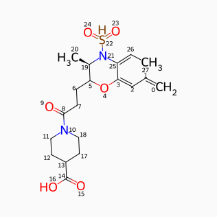 C=C/C=C1/OC(CCC(=O)N2CCC(C(=O)O)CC2)[C@@H](C)N([SH](=O)=O)/C1=C/C